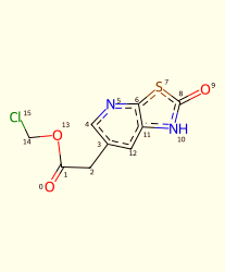 O=C(Cc1cnc2sc(=O)[nH]c2c1)OCCl